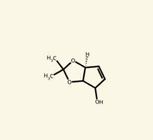 CC1(C)OC2C(O)C=C[C@@H]2O1